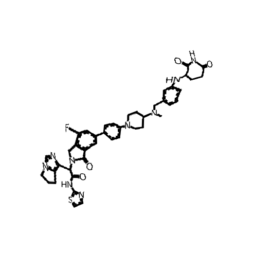 CN(Cc1cccc(NC2CCC(=O)NC2=O)c1)C1CCN(c2ccc(-c3cc(F)c4c(c3)C(=O)N(C(C(=O)Nc3nccs3)c3ncn5c3CCC5)C4)cc2)CC1